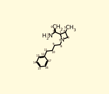 C=C(N)C1C(C)CN1CCCCc1ccccc1